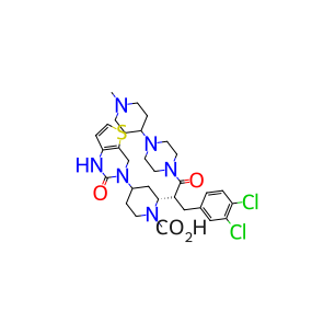 CN1CCC(N2CCN(C(=O)C(Cc3ccc(Cl)c(Cl)c3)[C@H]3CC(N4Cc5sccc5NC4=O)CCN3C(=O)O)CC2)CC1